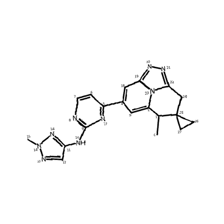 CC1c2cc(-c3ccnc(Nc4cnn(C)n4)n3)cc3nnc(n23)CC12CC2